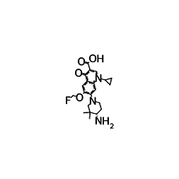 CC1(C)CN(c2cc3c(cc2OCF)c(=O)c(C(=O)O)cn3C2CC2)CC[C@@H]1N